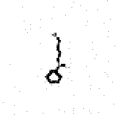 CCN(CCCCS)c1ccccc1